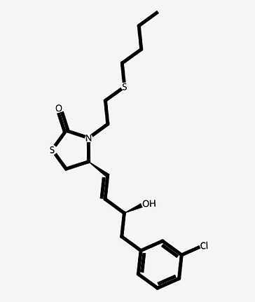 CCCCSCCN1C(=O)SC[C@@H]1/C=C/[C@@H](O)Cc1cccc(Cl)c1